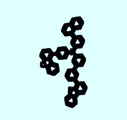 c1cc(-c2cccc(N(c3ccc(-c4cccc5oc6ccccc6c45)cc3)c3cccc(-c4cccc5ccccc45)c3)c2)cc(-c2cccc3c2sc2ccccc23)c1